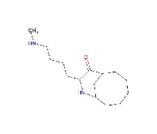 CNCCCCC1NC2CCCCCC(C2)C1=O